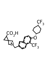 O=C(O)C1CC12CN(Cc1ccc3c(C(F)(F)F)c(O[C@H]4CC[C@@H](C(F)(F)F)CC4)ccc3c1)C2